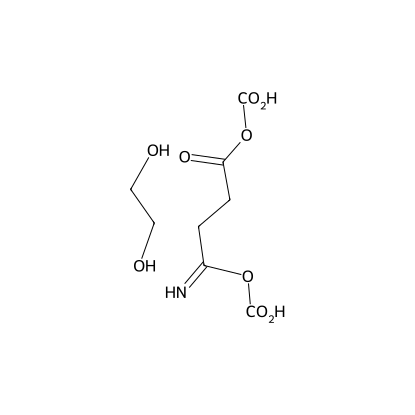 N=C(CCC(=O)OC(=O)O)OC(=O)O.OCCO